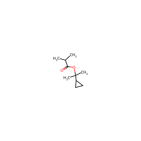 CC(C)C(=O)OC(C)(C)C1CC1